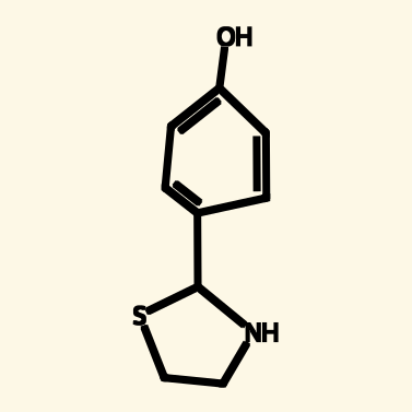 Oc1ccc(C2NCCS2)cc1